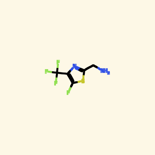 NCc1nc(C(F)(F)F)c(F)s1